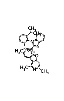 Cc1cc2oc3c(-c4nc5ccccc5n4-c4c(C(C)C)cccc4C(C)C)cccc3c2c(C)n1